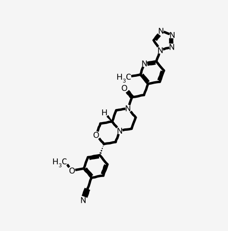 COc1cc([C@H]2CN3CCN(C(=O)Cc4ccc(-n5cnnn5)nc4C)C[C@H]3CO2)ccc1C#N